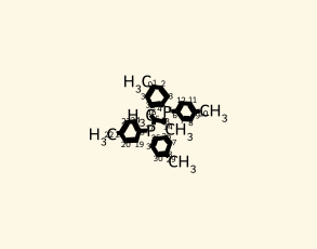 Cc1ccc(P(c2ccc(C)cc2)C(C)C(C)P(c2ccc(C)cc2)c2ccc(C)cc2)cc1